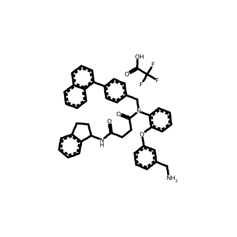 NCc1cccc(Oc2ccccc2N(Cc2ccc(-c3cccc4ccccc34)cc2)C(=O)CCC(=O)NC2CCc3ccccc32)c1.O=C(O)C(F)(F)F